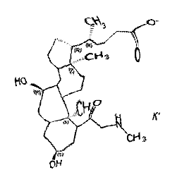 CNCC(=O)C1C[C@@H](O)CC2C[C@@H](O)C3C(CC[C@@]4(C)C3CC[C@@H]4[C@H](C)CCC(=O)[O-])[C@]21C.[K+]